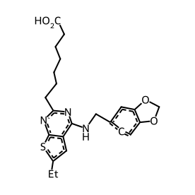 CCc1cc2c(NCc3ccc4c(c3)OCO4)nc(CCCCCCC(=O)O)nc2s1